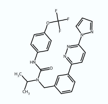 CC(C)N(Cc1cccc(-c2ccc(-n3cccn3)nn2)c1)C(=O)Nc1ccc(OC(F)(F)F)cc1